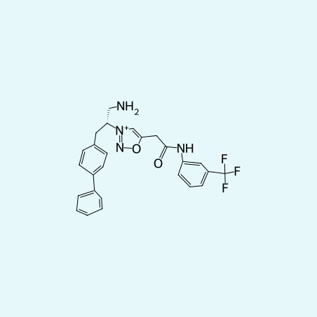 NC[C@@H](Cc1ccc(-c2ccccc2)cc1)[n+]1cc(CC(=O)Nc2cccc(C(F)(F)F)c2)on1